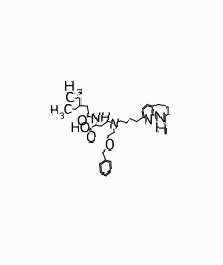 CCC(CC)CC(=O)NC(CCN(CCCCc1ccc2c(n1)NCCC2)CCOCc1ccccc1)C(=O)O